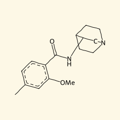 COc1cc(C)ccc1C(=O)NC1CN2CCC1CC2